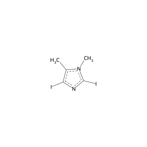 Cc1c(I)nc(I)n1C